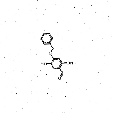 O=Cc1cc(O)c(OCc2ccccc2)cc1O